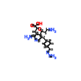 NCCC(=O)c1c(Cc2ccc(C=NN)cc2)cnc(N)c1CCC(=O)O